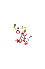 CCC(CCOCSC)(OCSC)C(=O)O